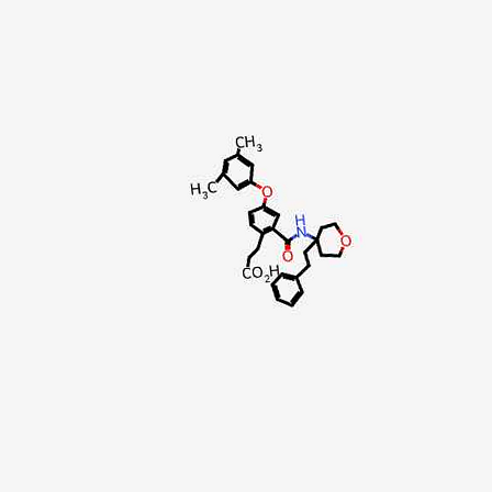 Cc1cc(C)cc(Oc2ccc(CCC(=O)O)c(C(=O)NC3(CCc4ccccc4)CCOCC3)c2)c1